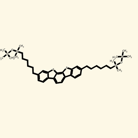 C[Si](C)(C)O[Si](C)(C)CCCCCCc1ccc2c(c1)sc1c2ccc2c3ccc(CCCCCC[Si](C)(C)O[Si](C)(C)C)cc3sc21